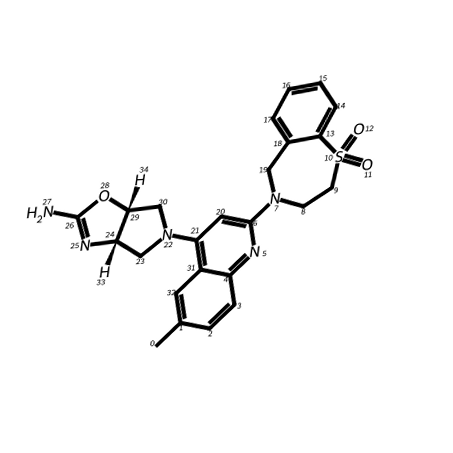 Cc1ccc2nc(N3CCS(=O)(=O)c4ccccc4C3)cc(N3C[C@@H]4N=C(N)O[C@@H]4C3)c2c1